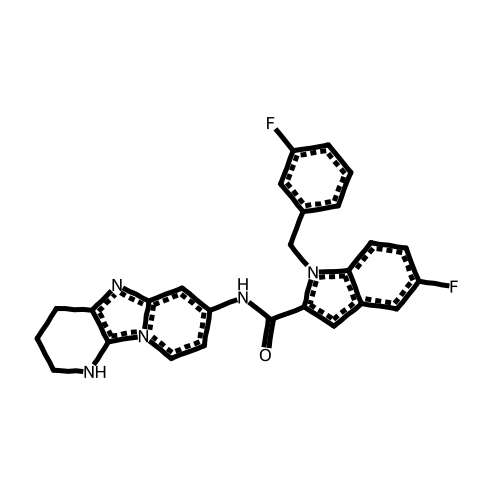 O=C(Nc1ccn2c3c(nc2c1)CCCN3)c1cc2cc(F)ccc2n1Cc1cccc(F)c1